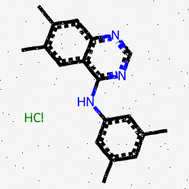 Cc1cc(C)cc(Nc2ncnc3cc(C)c(C)cc23)c1.Cl